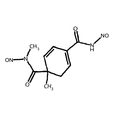 CN(N=O)C(=O)C1(C)C=CC(C(=O)NN=O)=CC1